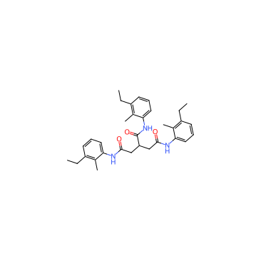 CCc1cccc(NC(=O)CC(CC(=O)Nc2cccc(CC)c2C)C(=O)Nc2cccc(CC)c2C)c1C